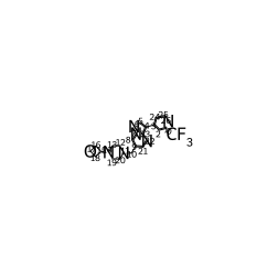 FC(F)(F)c1cc(-c2cnn3cc(CN4CCN(C5COC5)CC4)cnc23)ccn1